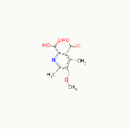 COCc1c(C)nc(C(=O)O)c(C(=O)O)c1C